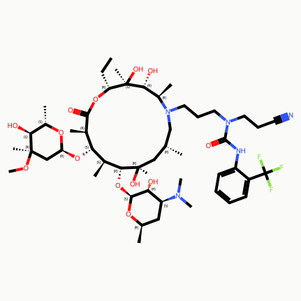 CC[C@H]1OC(=O)[C@H](C)[C@@H](O[C@H]2C[C@@](C)(OC)[C@@H](O)[C@H](C)O2)[C@H](C)[C@@H](O[C@@H]2O[C@H](C)C[C@H](N(C)C)[C@H]2O)[C@](C)(O)C[C@@H](C)CN(CCCN(CCC#N)C(=O)Nc2ccccc2C(F)(F)F)[C@H](C)[C@@H](O)[C@]1(C)O